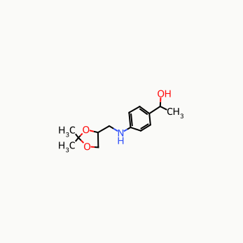 CC(O)c1ccc(NCC2COC(C)(C)O2)cc1